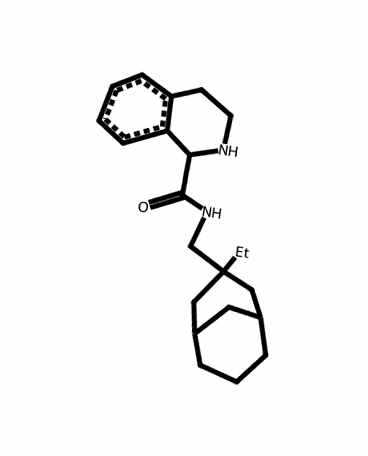 CCC1(CNC(=O)C2NCCc3ccccc32)CC2CCCC(C2)C1